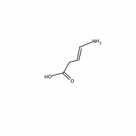 NC=CCC(=O)O